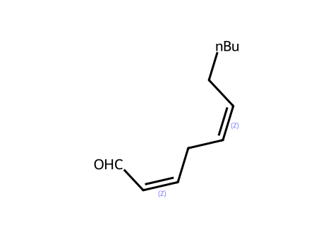 CCCCC/C=C\C/C=C\C=O